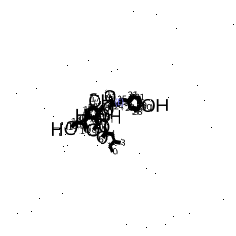 CCC(C)CC(=O)O[C@@H]1OC=C(CO)[C@H]2C[C@H](O)[C@](O)(COC(=O)/C=C/c3ccc(O)cc3)[C@@H]12